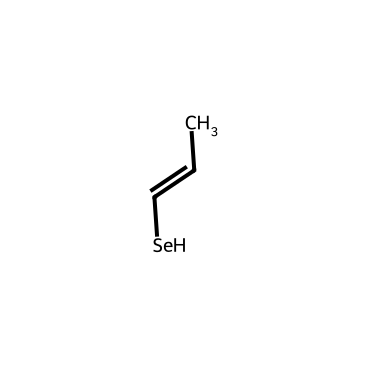 CC=C[SeH]